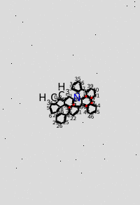 CC1(C)c2ccccc2-c2ccc(N(c3ccccc3-c3ccc(-c4ccccc4)cc3)c3ccccc3-c3cccc(-c4ccccc4)c3)cc21